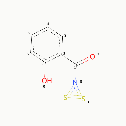 O=C(c1ccccc1O)n1ss1